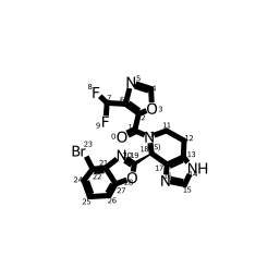 O=C(c1ocnc1C(F)F)N1CCc2[nH]cnc2[C@H]1c1nc2c(Br)cccc2o1